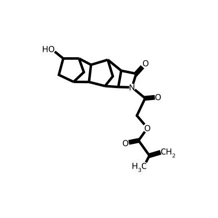 C=C(C)C(=O)OCC(=O)N1C(=O)C2C3CC(C4C5CC(O)C(C5)C34)C21